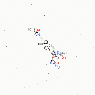 Cc1c(COc2cc(OCc3cncc(C(N)=O)c3)c(CNC(C)(CO)C(=O)O)cc2Cl)cccc1-c1cccc(OCCCN2CCC(O)(CC(=O)O)C2)c1C